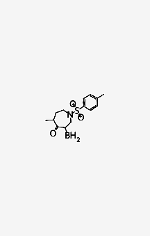 BC1CN(S(=O)(=O)c2ccc(C)cc2)CCC(C)C1=O